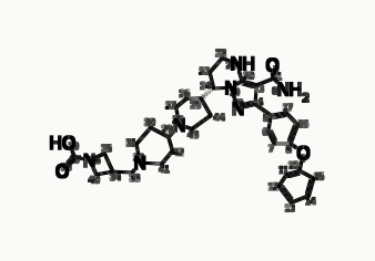 NC(=O)c1c(-c2ccc(Oc3ccccc3)cc2)nn2c1NCC[C@H]2C1CCN(C2CCN(CC3CN(C(=O)O)C3)CC2)CC1